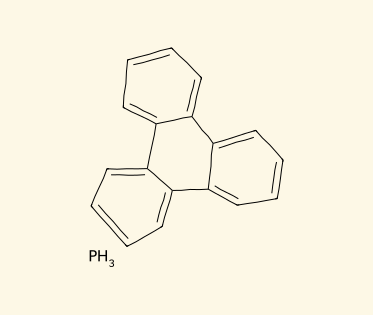 P.c1ccc2c(c1)c1ccccc1c1ccccc21